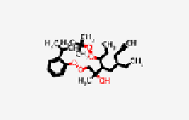 C#CCC(CC)CC(C(CC)OOC(C)(C)C)C(C)(O)COOc1ccccc1C(C)C